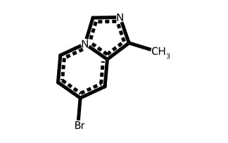 Cc1ncn2ccc(Br)cc12